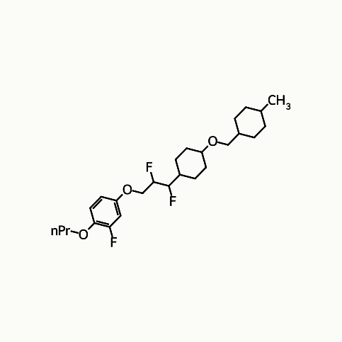 CCCOc1ccc(OCC(F)C(F)C2CCC(OCC3CCC(C)CC3)CC2)cc1F